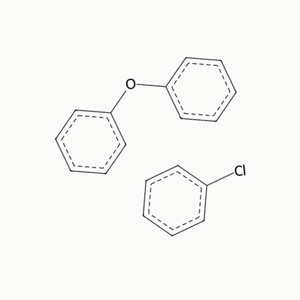 Clc1ccccc1.c1ccc(Oc2ccccc2)cc1